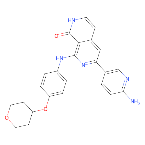 Nc1ccc(-c2cc3cc[nH]c(=O)c3c(Nc3ccc(OC4CCOCC4)cc3)n2)cn1